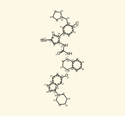 CC(C)(C)c1cc(NC(=O)N[C@H]2CC[C@@H](Oc3ccc4nnc(N5CCCCC5)n4c3)c3ccccc32)n(-c2ccc(Cl)c(CN3CCCC3)c2)n1